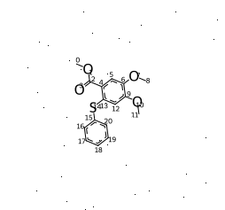 COC(=O)c1cc(OC)c(OC)cc1Sc1ccccc1